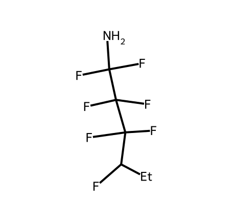 CCC(F)C(F)(F)C(F)(F)C(N)(F)F